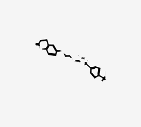 O=C1CCc2cc(OCCNc3nnc(-c4ccc(C(F)(F)F)cc4)o3)ccc2N1